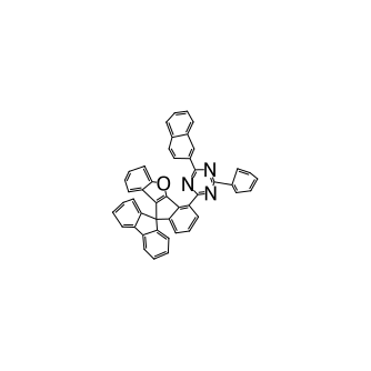 c1ccc(-c2nc(-c3ccc4ccccc4c3)nc(-c3cccc4c3-c3oc5ccccc5c3C43c4ccccc4-c4ccccc43)n2)cc1